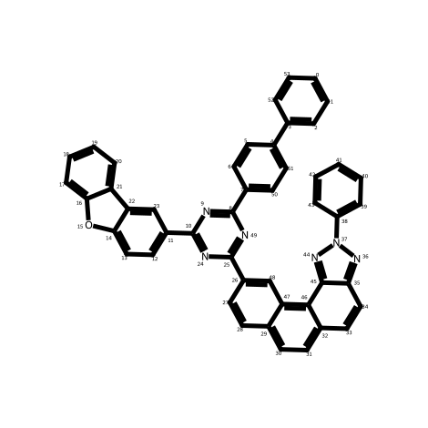 c1ccc(-c2ccc(-c3nc(-c4ccc5oc6ccccc6c5c4)nc(-c4ccc5ccc6ccc7nn(-c8ccccc8)nc7c6c5c4)n3)cc2)cc1